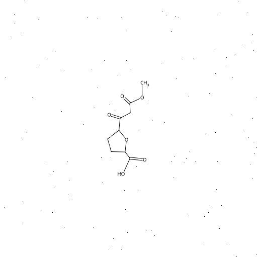 COC(=O)CC(=O)C1CCC(C(=O)O)O1